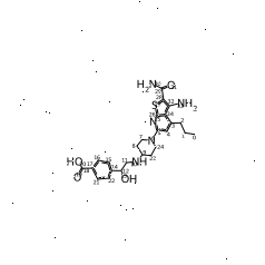 CCCc1cc(N2CCC(NCC(O)c3ccc(C(=O)O)cc3)CC2)nc2sc(C(N)=O)c(N)c12